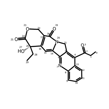 CCC(=O)c1c2c(nc3ccccc13)-c1cc3c(c(=O)n1C2)COC(=O)[C@]3(O)CC